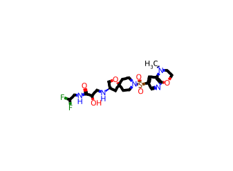 CN1CCOc2ncc(S(=O)(=O)N3CCC4(CC3)C[C@@H](NCC(O)C(=O)NCC(F)F)CO4)cc21